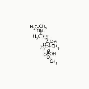 CCOP(=O)(O)OCC(C)(C)[C@H](O)C(=O)NCC/C(C)=N/OC(C)C